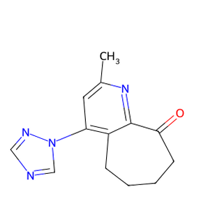 Cc1cc(-n2cncn2)c2c(n1)C(=O)CCCC2